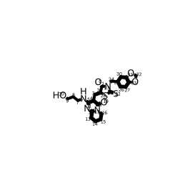 O=C1C(=Cc2c(NCCCO)nc3ccccn3c2=O)SC(=S)N1Cc1ccc2c(c1)OCO2